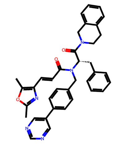 Cc1nc(C=CC(=O)N(Cc2ccc(-c3cncnc3)cc2)[C@@H](Cc2ccccc2)C(=O)N2CCc3ccccc3C2)c(C)o1